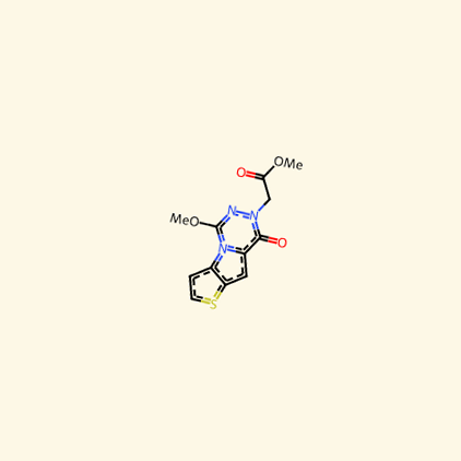 COC(=O)Cn1nc(OC)n2c(cc3sccc32)c1=O